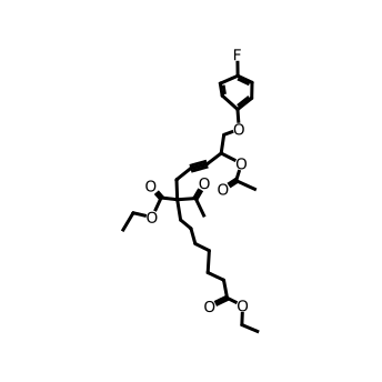 CCOC(=O)CCCCCCC(CC#CC(COc1ccc(F)cc1)OC(C)=O)(C(C)=O)C(=O)OCC